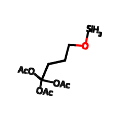 CC(=O)OC(CCCO[SiH3])(OC(C)=O)OC(C)=O